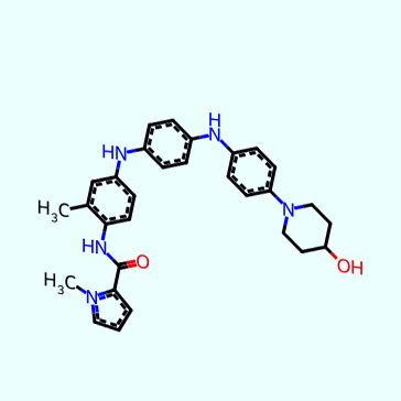 Cc1cc(Nc2ccc(Nc3ccc(N4CCC(O)CC4)cc3)cc2)ccc1NC(=O)c1cccn1C